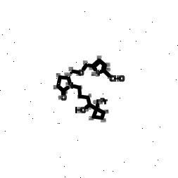 CCCC1(C(O)CCCN2C(=O)CC[C@@H]2COCc2ccc(C=O)s2)CCC1